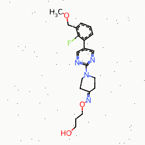 COCc1cccc(-c2cnc(N3CCC(=NOCCCO)CC3)nc2)c1F